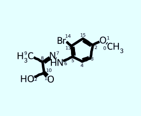 COc1ccc(N/N=C(/C)C(=O)O)c(Br)c1